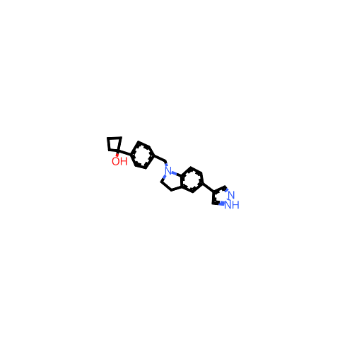 OC1(c2ccc(CN3CCc4cc(-c5cn[nH]c5)ccc43)cc2)CCC1